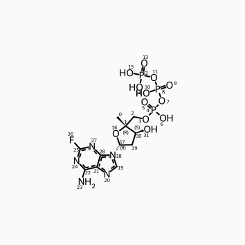 C[C@]1(COP(=O)(O)OP(=O)(O)OP(=O)(O)O)O[C@@H](n2cnc3c(N)nc(F)nc32)C[C@@H]1O